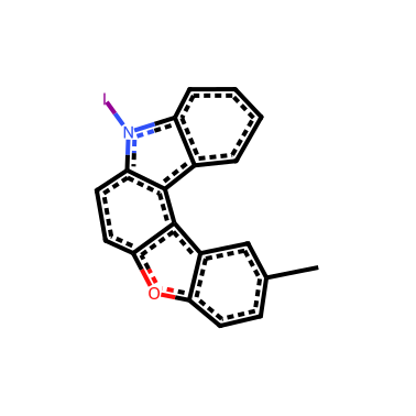 Cc1ccc2oc3ccc4c(c5ccccc5n4I)c3c2c1